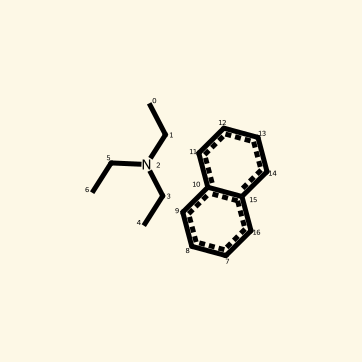 CCN(CC)CC.c1ccc2ccccc2c1